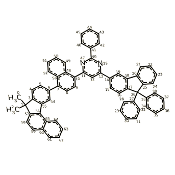 CC1(C)c2ccc(-c3ccc(-c4cc(-c5ccc6c(c5)-c5ccccc5C6(c5ccccc5)c5ccccc5)nc(-c5ccccc5)n4)c4ccccc34)cc2-c2c1ccc1ccccc21